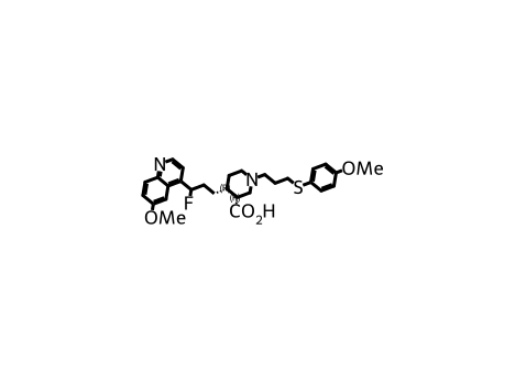 COc1ccc(SCCCN2CC[C@@H](CCC(F)c3ccnc4ccc(OC)cc34)[C@@H](C(=O)O)C2)cc1